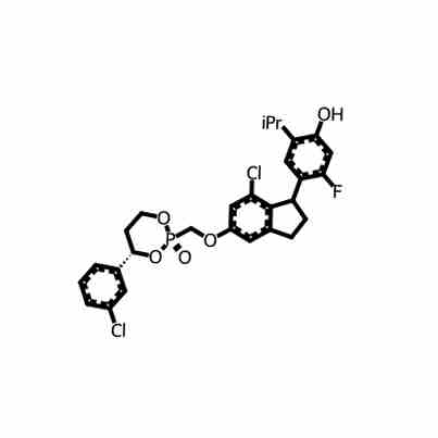 CC(C)c1cc(C2CCc3cc(OCP4(=O)OCC[C@@H](c5cccc(Cl)c5)O4)cc(Cl)c32)c(F)cc1O